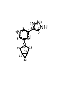 c1[nH]nnc1-c1cncc(N2CC3CC3C2)n1